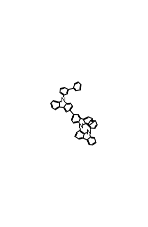 c1ccc(-c2cccc(-n3c4ccccc4c4cc(-c5ccc6c(c5)c5ccccc5n6-c5cccc6c7ccccc7n(-c7ccccc7)c56)ccc43)c2)cc1